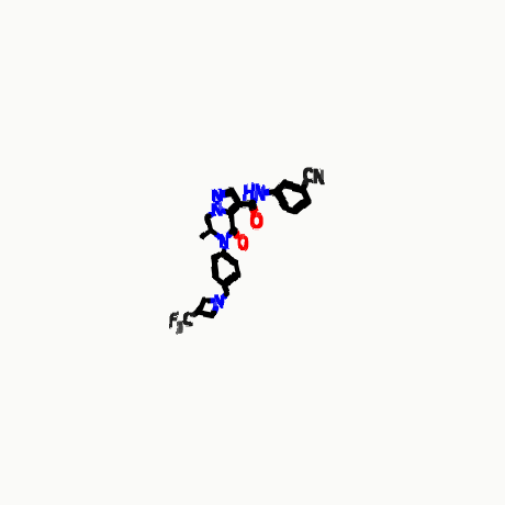 C[C@H]1Cn2ncc(C(=O)Nc3cccc(C#N)c3)c2C(=O)N1c1ccc(CN2CC(C(F)(F)F)C2)cc1